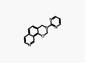 c1cnc(N2COc3c(ccc4ccncc34)C2)nc1